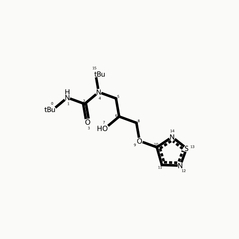 CC(C)(C)NC(=O)N(CC(O)COc1cnsn1)C(C)(C)C